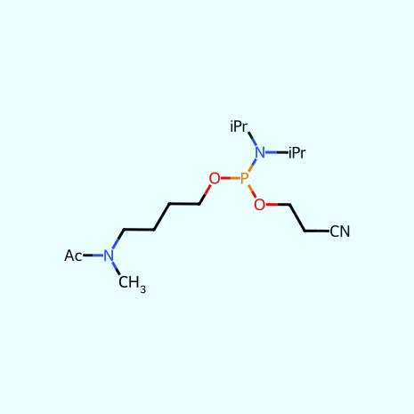 CC(=O)N(C)CCCCOP(OCCC#N)N(C(C)C)C(C)C